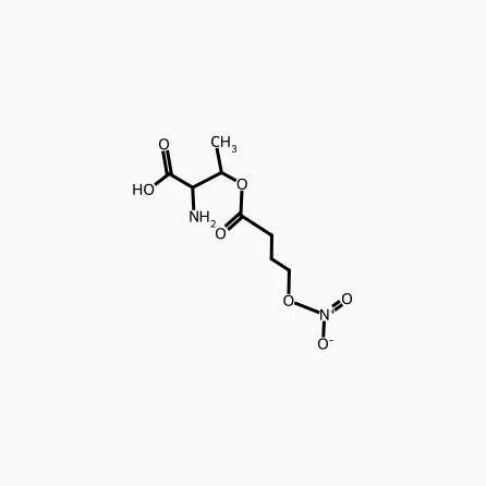 CC(OC(=O)CCCO[N+](=O)[O-])C(N)C(=O)O